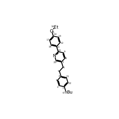 CCCCc1ccc(CCc2ccc(-c3ccc(OCC)cc3)nc2)cc1